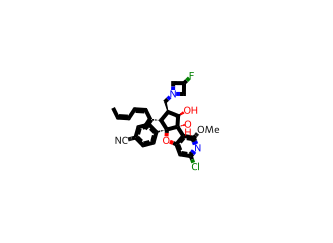 C=C(/C=C\C=C/C)[C@@H]1[C@@H](CN2CC(F)C2)[C@@H](O)[C@@]2(O)c3c(cc(Cl)nc3OC)O[C@@]12c1ccc(C#N)cc1